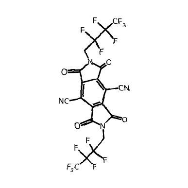 N#Cc1c2c(=O)n(CC(F)(F)C(F)(F)C(F)(F)F)c(=O)c2c(C#N)c2c(=O)n(CC(F)(F)C(F)(F)C(F)(F)F)c(=O)c12